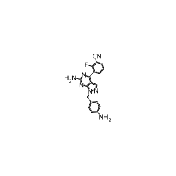 N#Cc1cccc(-c2nc(N)nc3c2cnn3Cc2ccc(N)cc2)c1F